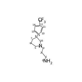 NCCCN1CCCC(c2ccc(C(F)(F)F)cc2)C1